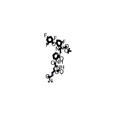 COC(=O)N[C@@H](CC/C=C/C(=O)N(C)C)C(=O)Nc1cccn(Cc2nc3c(Oc4ccc(F)cc4F)c(F)cc(F)c3n2C(=O)OC(C)(C)C)c1=O